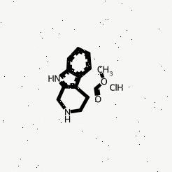 COC=O.Cl.c1ccc2c3c([nH]c2c1)CNCC3